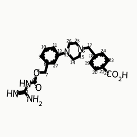 N=C(N)NC(=O)OCc1cccc(N2CCN(Cc3ccc(C(=O)O)cc3)CC2)c1